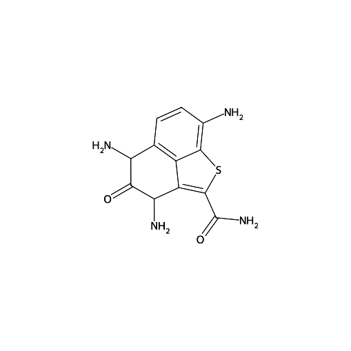 NC(=O)c1sc2c(N)ccc3c2c1C(N)C(=O)C3N